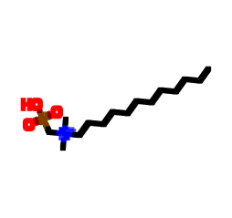 CCCCCCCCCCCC[N+](C)(C)CS(=O)(=O)O